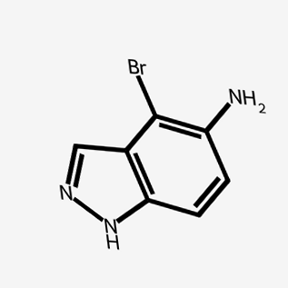 Nc1ccc2[nH]ncc2c1Br